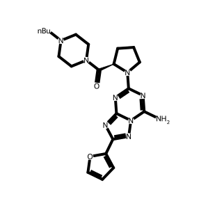 CCCCN1CCN(C(=O)[C@H]2CCCN2c2nc(N)n3nc(-c4ccco4)nc3n2)CC1